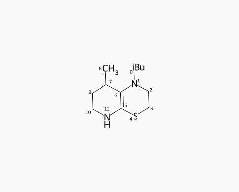 CCC(C)N1CCSC2=C1C(C)CCN2